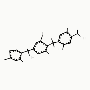 CC(C)c1cc(F)c(C(C)(C)c2c(F)cc(C(C)(C)c3ccc(F)cc3Cl)cc2Cl)cc1F